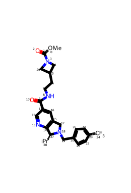 COC(=O)N1CC(CCNC(=O)c2cnc3c(c2)CN(Cc2ccc(C(F)(F)F)cc2)[C@H]3C(C)C)C1